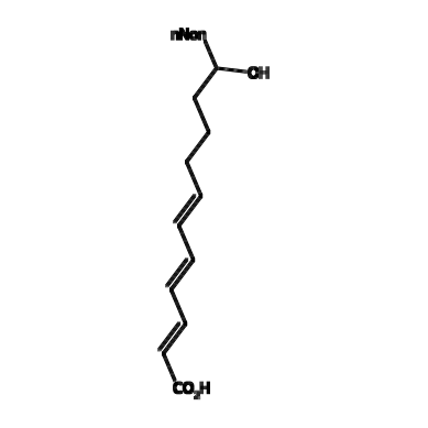 CCCCCCCCCC(O)CCCC=CC=CC=CC(=O)O